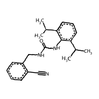 CC(C)c1cccc(C(C)C)c1NC(=O)NCc1ccccc1C#N